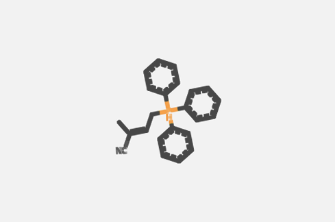 CC(C#N)=CC[PH](c1ccccc1)(c1ccccc1)c1ccccc1